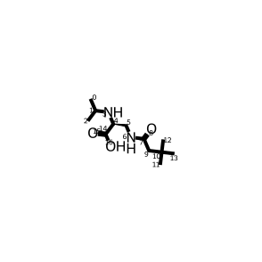 CC(C)N[C@@H](CNC(=O)CC(C)(C)C)C(=O)O